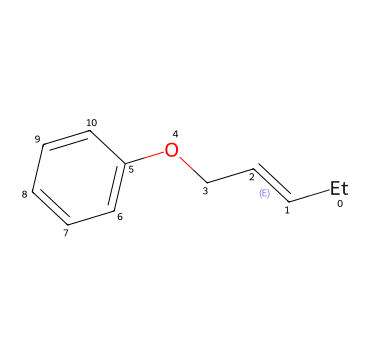 CC/C=C/COc1ccccc1